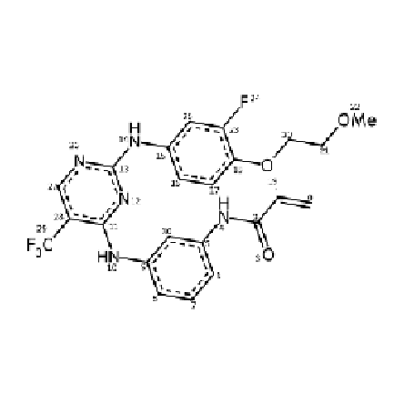 C=CC(=O)Nc1cccc(Nc2nc(Nc3ccc(OCCOC)c(F)c3)ncc2C(F)(F)F)c1